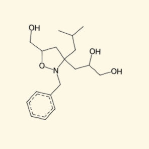 CC(C)CC1(CC(O)CO)CC(CO)ON1Cc1ccccc1